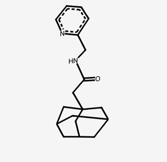 O=C(CC12CC3CC(CC(C3)C1)C2)NCc1ccccn1